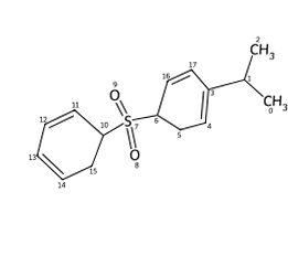 CC(C)C1=CCC(S(=O)(=O)C2C=CC=CC2)C=C1